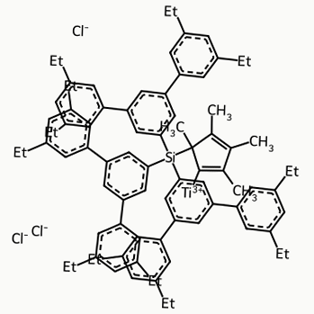 CCc1cc(CC)cc(-c2cc(-c3cc(CC)cc(CC)c3)cc([Si](c3cc(-c4cc(CC)cc(CC)c4)cc(-c4cc(CC)cc(CC)c4)c3)(c3cc(-c4cc(CC)cc(CC)c4)cc(-c4cc(CC)cc(CC)c4)c3)C3(C)C(C)=C(C)C(C)=[C]3[Ti+3])c2)c1.[Cl-].[Cl-].[Cl-]